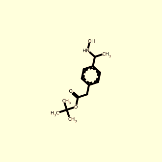 CC(NO)c1ccc(CC(=O)OC(C)(C)C)cc1